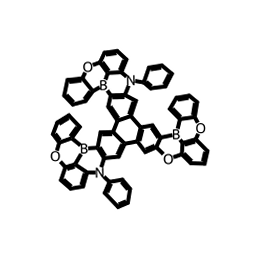 c1ccc(N2c3cc4c5cc6c(cc5c5cc7c(cc5c4cc3B3c4ccccc4Oc4cccc2c43)B2c3ccccc3Oc3cccc(c32)N7c2ccccc2)B2c3ccccc3Oc3cccc(c32)O6)cc1